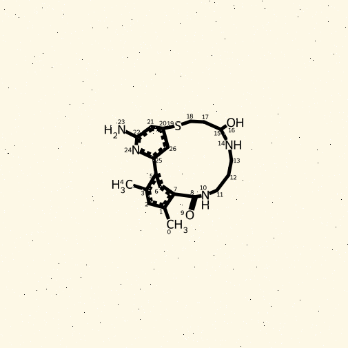 Cc1cc(C)c2cc1C(=O)NCCCNC(O)CCSc1cc(N)nc-2c1